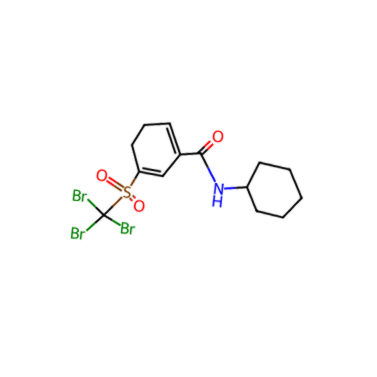 O=C(NC1CCCCC1)C1=CCCC(S(=O)(=O)C(Br)(Br)Br)=C1